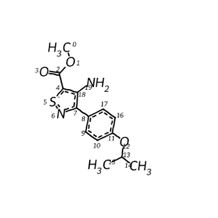 COC(=O)c1snc(-c2ccc(OC(C)C)cc2)c1N